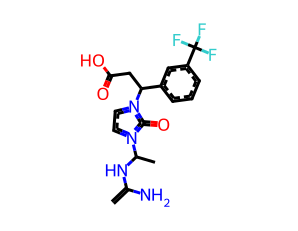 C=C(N)NC(C)n1ccn(C(CC(=O)O)c2cccc(C(F)(F)F)c2)c1=O